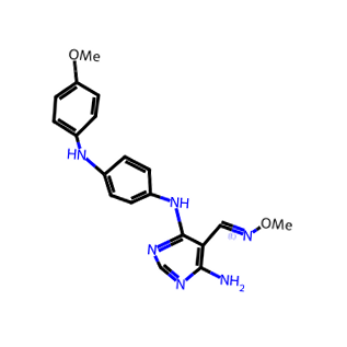 CO/N=C/c1c(N)ncnc1Nc1ccc(Nc2ccc(OC)cc2)cc1